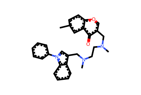 Cc1ccc2occ(CN(C)CCN(C)Cc3cn(-c4ccccc4)c4ccccc34)c(=O)c2c1